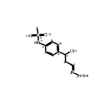 CCCCCCN=CCC(O)c1ccc(NS(C)(=O)=O)cc1